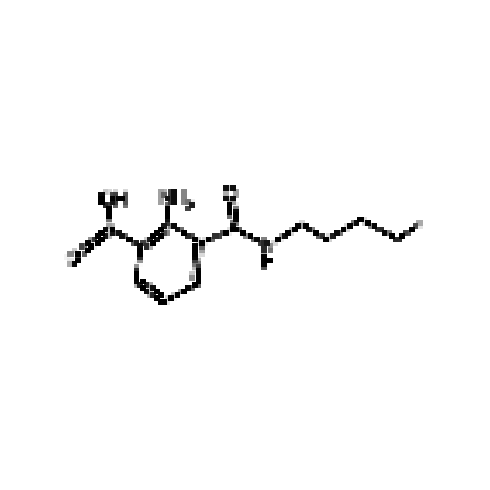 CCCCCNC(=O)c1cccc(C(=O)O)c1N